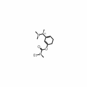 CCN(C)C(=O)OC1=CC([C@H](C)N(C)C)=CCC1